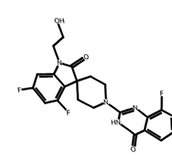 O=C1N(CCO)c2cc(F)cc(F)c2C12CCN(c1nc3c(F)cccc3c(=O)[nH]1)CC2